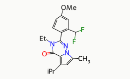 CCn1c(-c2ccc(OC)cc2C(F)F)nn2c(C)cc(C(C)C)c2c1=O